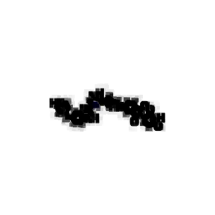 N=C/C(=C\NC1CC(CNc2ccc3c(c2)C(=O)N(C2CCC(=O)NC2=O)C3=O)C1)C1=Nc2cc(CN3CCNCC3)ccc2NC1